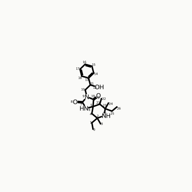 CCC1(C)CC2(NC(=O)N(CC(O)c3ccccc3)C2=O)C(C)C(C)(CC)N1